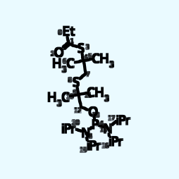 CCC(=O)SC(C)(C)CSC(C)(C)COP(N(C(C)C)C(C)C)N(C(C)C)C(C)C